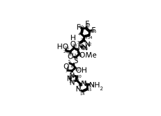 COC1C(SC2COCC(n3cc(-c4nccc(N)n4)nn3)C2O)OC(CO)C(O)C1n1cc(-c2cc(F)c(F)c(F)c2)nn1